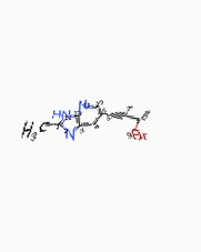 Cc1nc2cc(C#CCBr)cnc2[nH]1